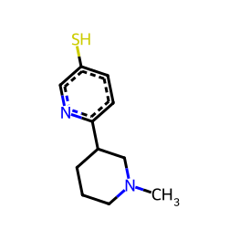 CN1CCCC(c2ccc(S)cn2)C1